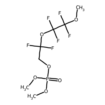 COC(F)(F)C(F)(F)OC(F)(F)COP(=O)(OC)OC